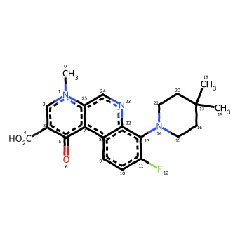 Cn1cc(C(=O)O)c(=O)c2c3ccc(F)c(N4CCC(C)(C)CC4)c3ncc21